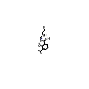 COc1c(C(=N)/N=C\NCCF)cccc1C(C)C